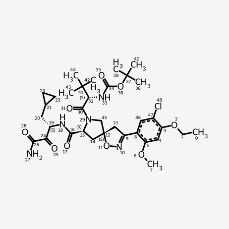 CCOc1cc(OC)c(C2=NO[C@]3(C2)C[C@@H](C(=O)N[C@@H](CC2CC2)C(=O)C(N)=O)N(C(=O)[C@@H](NC(=O)OC(C)(C)C)C(C)(C)C)C3)cc1Cl